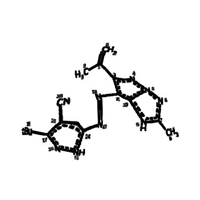 C=C(C)c1nn2nc(C)[nH]c2c1N=Nc1[nH]nc(C(C)(C)C)c1C#N